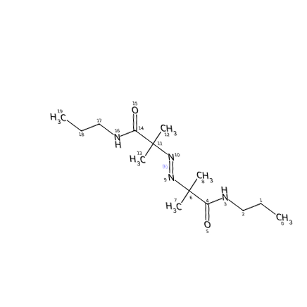 CCCNC(=O)C(C)(C)/N=N/C(C)(C)C(=O)NCCC